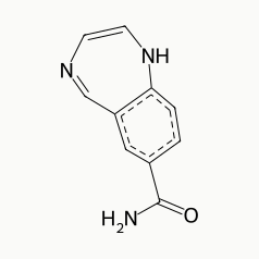 NC(=O)c1ccc2c(c1)C=NC=CN2